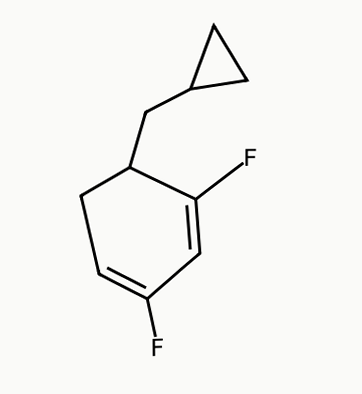 FC1=CCC(CC2CC2)C(F)=C1